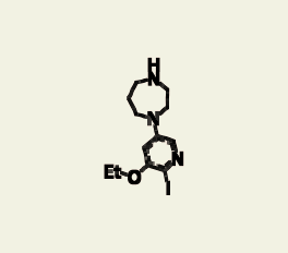 CCOc1cc(N2CCCNCC2)cnc1I